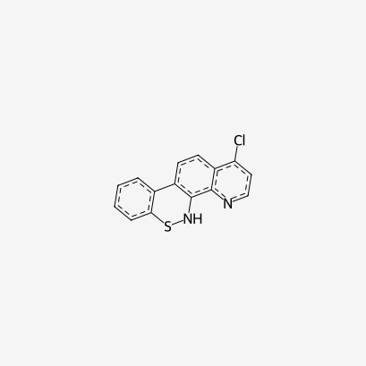 Clc1ccnc2c3c(ccc12)-c1ccccc1SN3